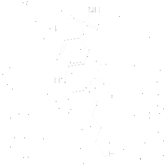 NS(=O)(=O)c1cc2c(cc1Cl)NCN(CCCCO)S2(=O)=O